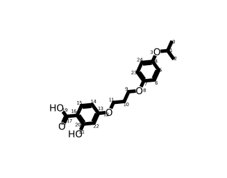 CC(C)Oc1ccc(OCCCOc2ccc(C(=O)O)c(O)c2)cc1